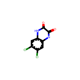 O=C1[N]c2cc(Cl)c(Cl)cc2NC1=O